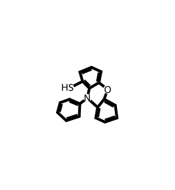 Sc1cccc2c1N(c1ccccc1)c1ccccc1O2